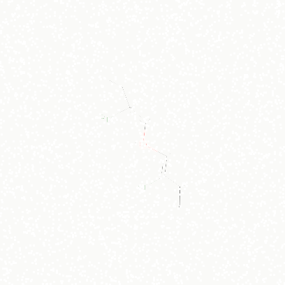 CCC(Br)=COC=C(Br)CC